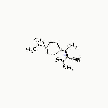 C/C(=C(\C#N)C(N)=S)N1CCN(C(C)C)CC1